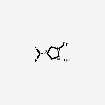 CCN1C[C@@H](C(F)F)C[C@H]1C(C)C